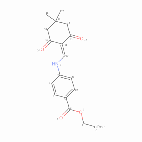 CCCCCCCCCCCOC(=O)c1ccc(NC=C2C(=O)CC(C)(C)CC2=O)cc1